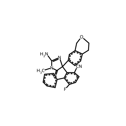 CN1C(=O)C(c2ccc3c(c2)COCC3)(c2c(C#N)ccc(F)c2-c2ccccc2)N=C1N